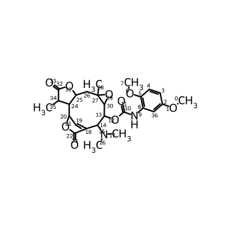 COc1ccc(OC)c(NC(=O)OC2C(N(C)C)C3=CC(OC3=O)C3C(CC4(C)OC24)OC(=O)C3C)c1